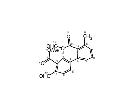 COC(=O)c1cc(-c2cccc(C)c2C(=O)OC=O)ccc1C=O